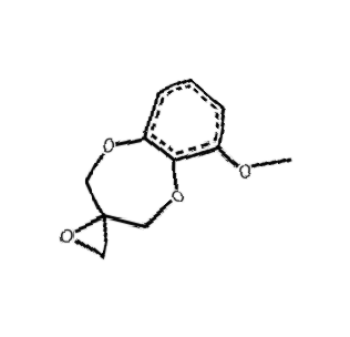 COc1cccc2c1OCC1(CO2)CO1